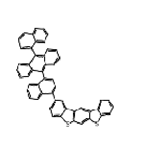 c1ccc2c(-c3c4ccccc4c(-c4ccc(-c5ccc6sc7cc8sc9ccccc9c8cc7c6c5)c5ccccc45)c4ccccc34)cccc2c1